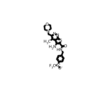 Cc1c(CN2CCOCC2)nnc2sc(C(=O)NCc3ccc([S+]([O-])C(F)(F)F)cc3)c(N)c12